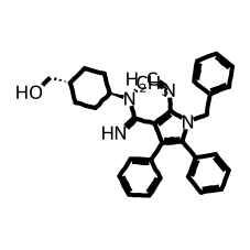 C=Nc1c(C(=N)N(C)[C@H]2CC[C@H](CO)CC2)c(-c2ccccc2)c(-c2ccccc2)n1Cc1ccccc1